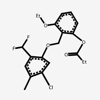 CCOc1cccc(OC(=O)CC)c1COc1cc(Cl)c(C)cc1C(F)F